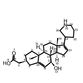 C[C@]12CC[C@H](CC(=O)O)CC1=C[C@H](O)[C@@H]1[C@@H]2CC[C@]2(C)C(C3CCCNC3)=CC[C@@H]12